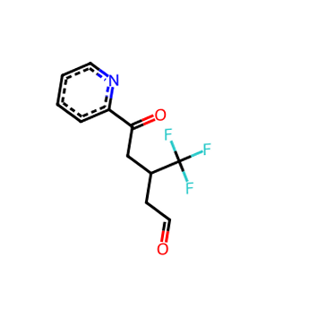 O=CCC(CC(=O)c1ccccn1)C(F)(F)F